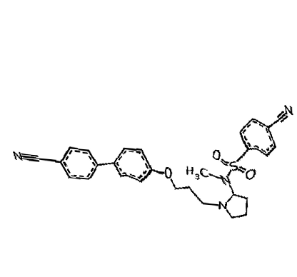 CN(C1CCCN1CCCOc1ccc(-c2ccc(C#N)cc2)cc1)S(=O)(=O)c1ccc(C#N)cc1